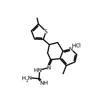 Cc1ccc(C2CC(=NNC(=N)N)c3c(C)ccnc3C2)s1.Cl